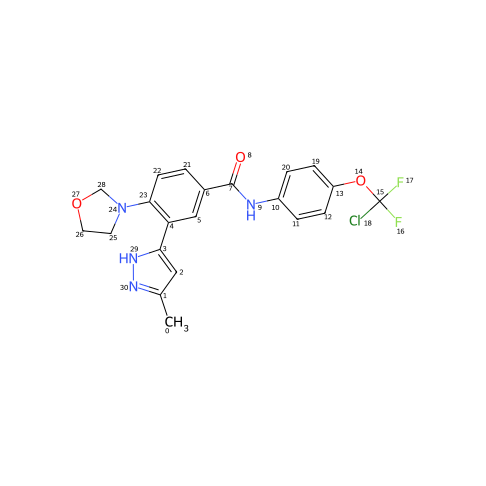 Cc1cc(-c2cc(C(=O)Nc3ccc(OC(F)(F)Cl)cc3)ccc2N2CCOC2)[nH]n1